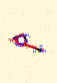 C[C@@H]1NC(=O)CNC(=O)[C@H](C)NC(=O)C(NC(=O)COCCOCCOCCNC(=O)CCCC[C@H]2SCC3NC(=O)N[C@H]32)Cc2cn(nn2)CCCCC(C(N)=O)NC(=O)CNC(=O)[C@H](Cc2ccc(O)cc2)NC1=O